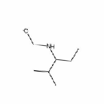 CCC(NC[O])C(C)C